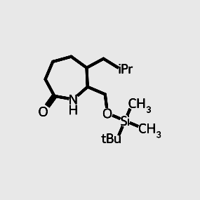 CC(C)CC1CCCC(=O)NC1CO[Si](C)(C)C(C)(C)C